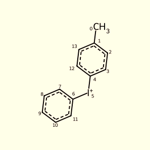 Cc1ccc([I+]c2ccccc2)cc1